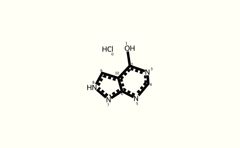 Cl.Oc1ncnc2n[nH]cc12